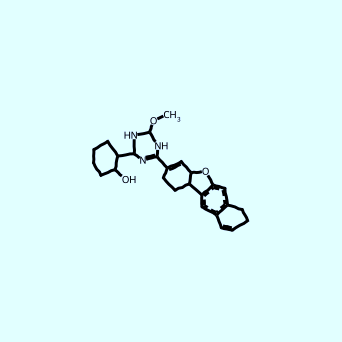 COC1NC(C2=CC3Oc4cc5c(cc4C3CC2)C=CCC5)=NC(C2CCCCC2O)N1